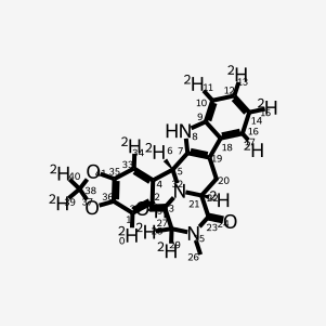 [2H]c1c([2H])c([C@]2([2H])c3[nH]c4c([2H])c([2H])c([2H])c([2H])c4c3C[C@]3([2H])C(=O)N(C)C([2H])([2H])C(=O)N23)c([2H])c2c1OC([2H])([2H])O2